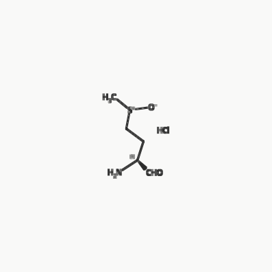 C[S+]([O-])CC[C@H](N)C=O.Cl